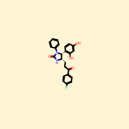 O=C(CC[C@@H]1NC(=O)N(c2ccccc2)[C@@H]1c1ccc(O)cc1O)c1ccc(F)cc1